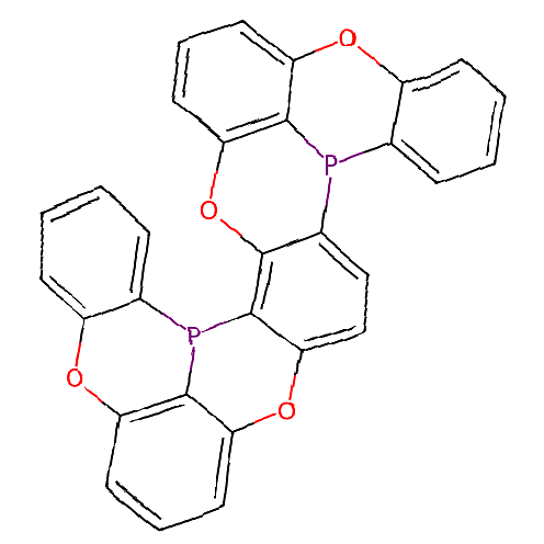 c1ccc2c(c1)oc1cccc3oc4c(ccc5oc6cccc7oc8ccccc8p(c76)c54)p2c13